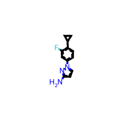 Nc1ccn(-c2ccc(C3CC3)c(F)c2)n1